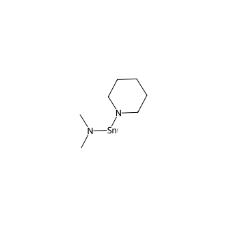 C[N](C)[Sn][N]1CCCCC1